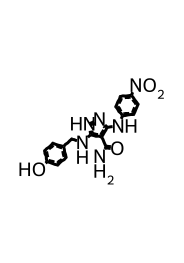 NC(=O)c1c(Nc2ccc([N+](=O)[O-])cc2)n[nH]c1NCc1ccc(O)cc1